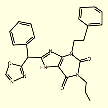 CCCn1c(=O)c2[nH]c(C(c3ccccc3)c3nnco3)nc2n(CCc2ccccc2)c1=O